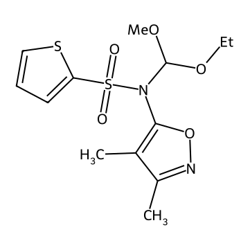 CCOC(OC)N(c1onc(C)c1C)S(=O)(=O)c1cccs1